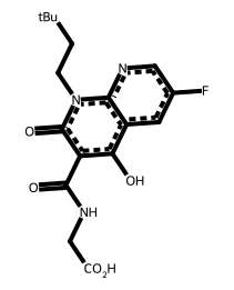 CC(C)(C)CCn1c(=O)c(C(=O)NCC(=O)O)c(O)c2cc(F)cnc21